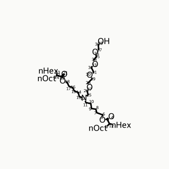 CCCCCCCCC(CCCCCC)C(=O)OCCCCCCN(CCCCCCOC(=O)C(CCCCCC)CCCCCCCC)CCOCCOCCOCCOCCO